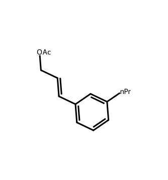 CCCc1cccc(C=CCOC(C)=O)c1